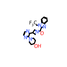 O=C(c1nc2ccccc2n1CC(F)(F)F)N1CC(c2nccnc2N2CCC(O)CC2)C1